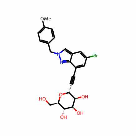 COc1ccc(Cn2cc3cc(Br)cc(C#C[C@H]4O[C@H](CO)[C@@H](O)[C@H](O)[C@@H]4O)c3n2)cc1